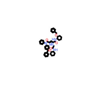 O=C(Cn1nc(C(=O)N(c2ccccc2)c2ccccc2)cc1C(=O)N[C@H]1CCCC[C@@H]1OCc1ccccc1)N[C@H]1CCCC[C@@H]1OCc1ccccc1